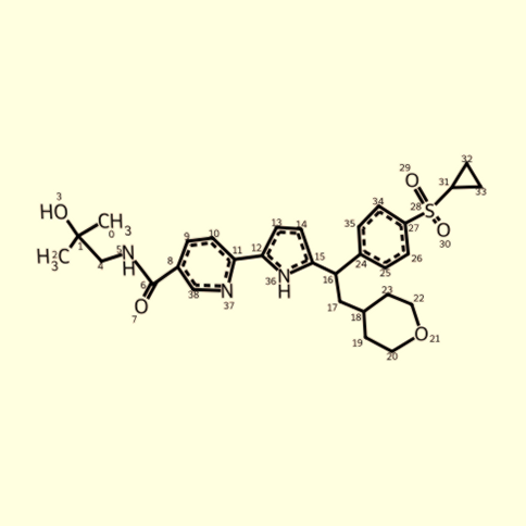 CC(C)(O)CNC(=O)c1ccc(-c2ccc(C(CC3CCOCC3)c3ccc(S(=O)(=O)C4CC4)cc3)[nH]2)nc1